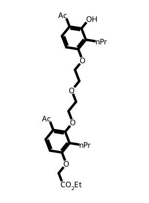 CCCc1c(OCCOCCOc2c(C(C)=O)ccc(OCC(=O)OCC)c2CCC)ccc(C(C)=O)c1O